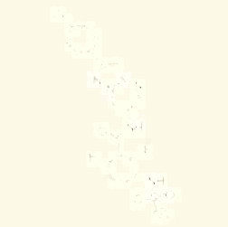 CCCS(=O)(=O)Nc1ccc(F)c(C(=O)Nc2cnc3cc(-c4ccc(Cl)cc4)nn3c2)c1F